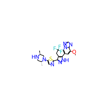 COc1cc(-c2[nH]nc(-c3ncc(N4C[C@H](C)NC[C@H]4C)s3)c2CC(F)(F)F)cn2ncnc12